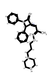 CC(/C=C1/C(=O)N(c2ccccc2)C1c1ccccc1)=NOCCCN1CCOCC1